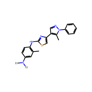 CCN(CC)c1ccc(Nc2nc(-c3cnn(-c4ccccc4)c3C)cs2)c(C)c1